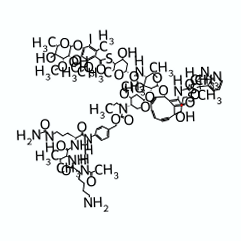 CCN(C(=O)OCc1ccc(NC(=O)[C@H](CCCNC(N)=O)NC(=O)[C@@H](NC(=O)[C@H](CCCCN)NC(C)=O)C(C)C)cc1)[C@H]1CO[C@@H](O[C@H]2[C@H](O[C@H]3C#CC=CC#C[C@]4(O)CC(=O)C(NC(=O)OC)=C3/C4=C\CSSC(C)(C)c3cccnc3N)O[C@H](C)[C@@H](NO[C@H]3C[C@H](O)[C@H](SC(=O)c4c(C)c(I)c(O[C@@H]5O[C@@H](C)[C@H](O)[C@@H](OC)[C@H]5O)c(OC)c4OC)[C@@H](C)O3)[C@@H]2O)C[C@@H]1OC